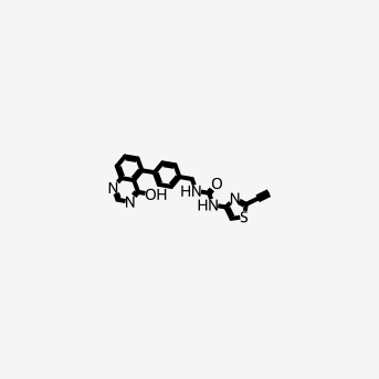 C#Cc1nc(NC(=O)NCc2ccc(-c3cccc4ncnc(O)c34)cc2)cs1